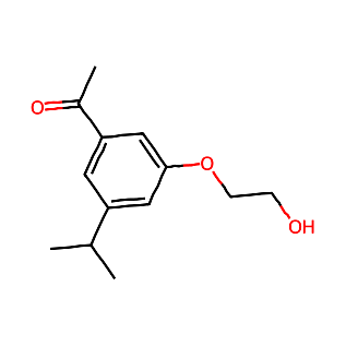 CC(=O)c1cc(OCCO)cc(C(C)C)c1